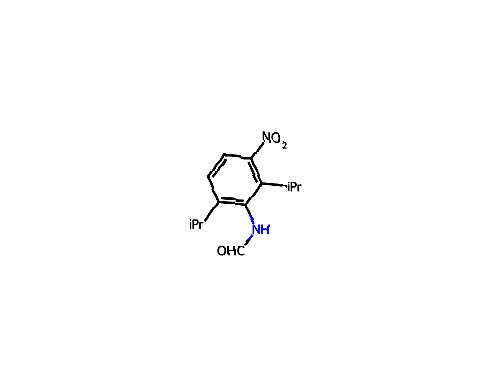 CC(C)c1ccc([N+](=O)[O-])c(C(C)C)c1NC=O